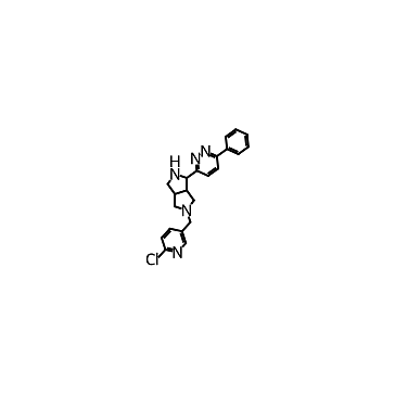 Clc1ccc(CN2CC3CNC(c4ccc(-c5ccccc5)nn4)C3C2)cn1